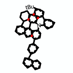 CC(C)(C)c1ccc(-c2ccccc2N(c2ccc(-c3ccc(-c4cccc5ccccc45)cc3)cc2)c2ccccc2-c2cccc3cccc(C4CCCCC4)c23)cc1